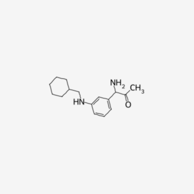 CC(=O)C(N)c1cccc(NCC2CCCCC2)c1